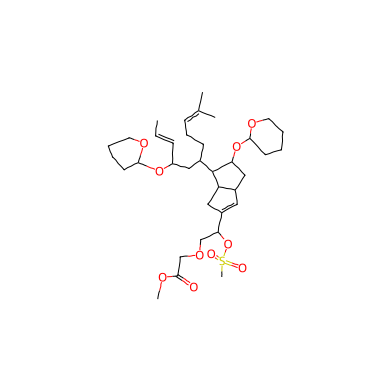 CC=CC(CC(CCC=C(C)C)C1C(OC2CCCCO2)CC2C=C(C(COCC(=O)OC)OS(C)(=O)=O)CC21)OC1CCCCO1